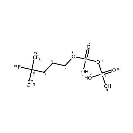 O=P(O)(O)OP(=O)(O)OCCCC(F)(C(F)(F)F)C(F)(F)F